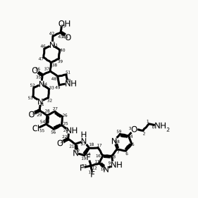 NCCOc1ccc(-c2[nH]nc(C(F)(F)F)c2Cc2cnc(C(=O)Nc3ccc(C(=O)N4CCN(C(=O)C(C5CCN(CC(=O)O)CC5)C5CNC5)CC4)c(Cl)c3)[nH]2)nc1